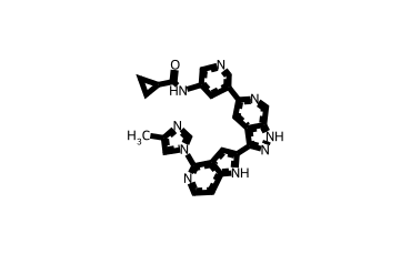 Cc1cn(-c2nccc3[nH]c(-c4n[nH]c5cnc(-c6cncc(NC(=O)C7CC7)c6)cc45)cc23)cn1